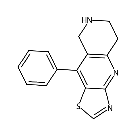 c1ccc(-c2c3c(nc4ncsc24)CCNC3)cc1